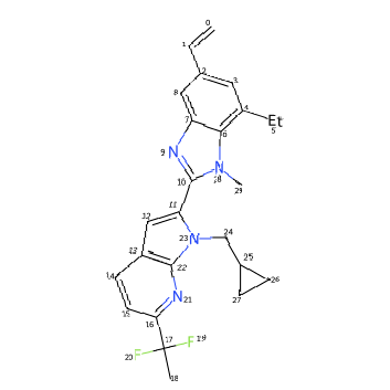 C=Cc1cc(CC)c2c(c1)nc(-c1cc3ccc(C(C)(F)F)nc3n1CC1CC1)n2C